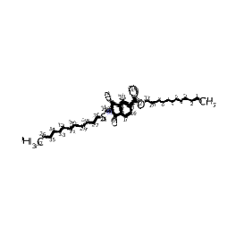 CCCCCCCCCCCCOC(=O)c1ccc2c(c1)C(=O)/C(=C/SCCCCCCCCCCCC)C2=O